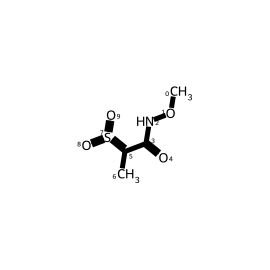 CONC(=O)C(C)=S(=O)=O